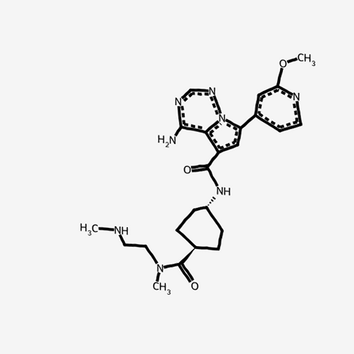 CNCCN(C)C(=O)[C@H]1CC[C@H](NC(=O)c2cc(-c3ccnc(OC)c3)n3ncnc(N)c23)CC1